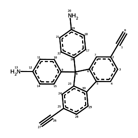 C#Cc1ccc2c(c1)C(c1ccc(N)cc1)(c1ccc(N)cc1)c1cc(C#C)ccc1-2